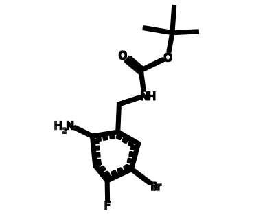 CC(C)(C)OC(=O)NCc1cc(Br)c(F)cc1N